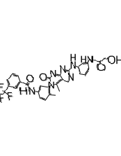 Cc1ccc(NC(=O)c2cccc(C(F)(F)F)c2)cc1-n1c(C)c2cnc(Nc3cccc(NC(=O)CO)c3)nc2nc1=O